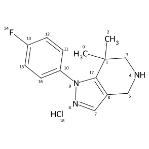 CC1(C)CNCc2cnn(-c3ccc(F)cc3)c21.Cl